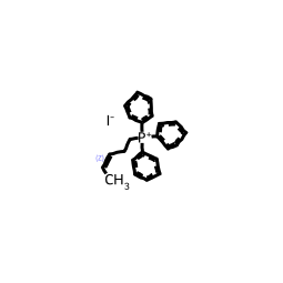 C/C=C\CC[P+](c1ccccc1)(c1ccccc1)c1ccccc1.[I-]